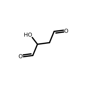 O=CCC(O)C=O